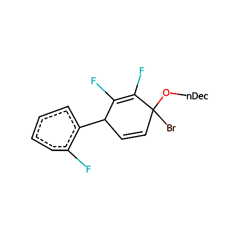 CCCCCCCCCCOC1(Br)C=CC(c2ccccc2F)C(F)=C1F